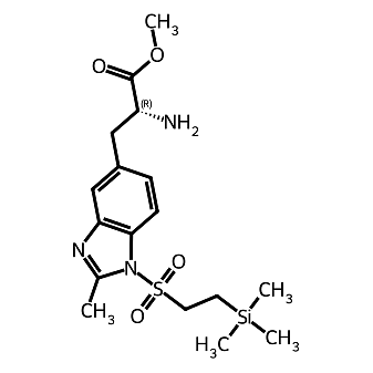 COC(=O)[C@H](N)Cc1ccc2c(c1)nc(C)n2S(=O)(=O)CC[Si](C)(C)C